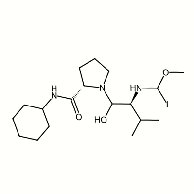 COC(I)N[C@@H](C(C)C)C(O)N1CCC[C@H]1C(=O)NC1CCCCC1